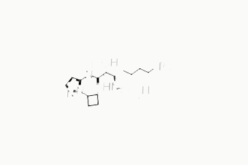 CC(C)(C)CCCC[C@H](NC(=O)O)[C@@H](O)C(=O)Nc1ccnn1C1CCC1